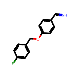 N=Cc1ccc(OCc2ccc(F)cc2)cc1